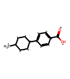 CC1CCC(c2ccc(C(=O)O)cc2)CC1